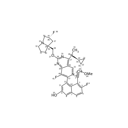 C#Cc1c(F)ccc2cc(O)cc(-c3ncc4c(N(C)[C@H]5C[C@@H]5COC)nc(OC[C@@]56CCCN5C[C@H](F)C6)nc4c3F)c12